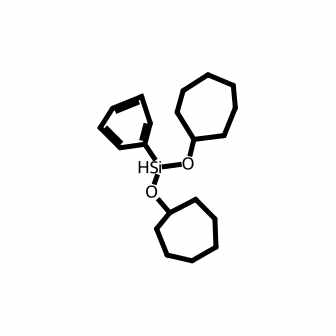 c1ccc([SiH](OC2CCCCCC2)OC2CCCCCC2)cc1